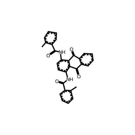 Cc1ccccc1C(=O)Nc1ccc(NC(=O)c2ccccc2C)c2c1C(=O)c1ccccc1C2=O